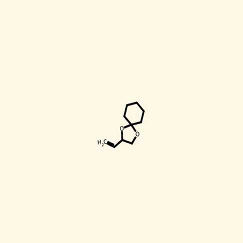 C=CC1COC2(CCCCC2)O1